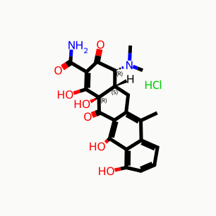 Cc1c2c(c(O)c3c(O)cccc13)C(=O)[C@]1(O)C(O)=C(C(N)=O)C(=O)[C@H](N(C)C)[C@@H]1C2.Cl